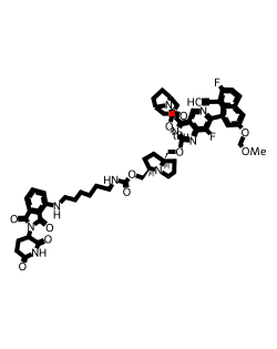 C#Cc1c(F)ccc2cc(OCOC)cc(-c3ncc4c(N5CC6CCC(C5)N6C(=O)OC(C)(C)C)nc(OC[C@]56CCCN5[C@@H](COC(=O)NCCCCCCNc5cccc7c5C(=O)N(C5CCC(=O)NC5=O)C7=O)CC6)nc4c3F)c12